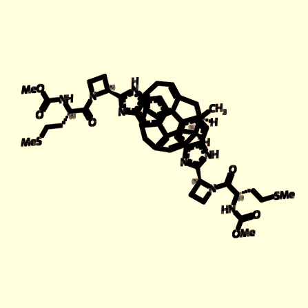 COC(=O)N[C@@H](CCSC)C(=O)N1CC[C@H]1c1nc2cc(C3=CC4=CCC=C3C[C@@H](C)[C@@H]3C=CC(=C(c5ccc6[nH]c([C@@H]7CCN7C(=O)[C@H](CCSC)NC(=O)OC)nc6c5)C3)CC4)ccc2[nH]1